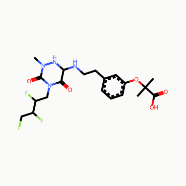 CN1NC(NCCc2cccc(OC(C)(C)C(=O)O)c2)C(=O)N(CC(F)C(F)CF)C1=O